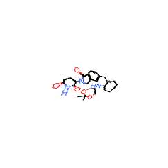 CC1(C)OCC(NC2CCCC[C@@H]2Cc2ccc3c(c2)CN(C2CCC(=O)NC2=O)C3=O)CO1